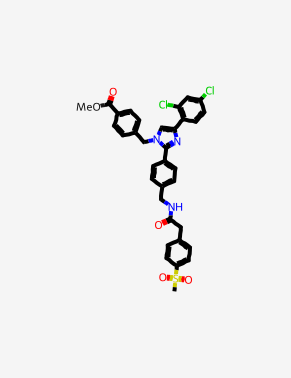 COC(=O)c1ccc(Cn2cc(-c3ccc(Cl)cc3Cl)nc2-c2ccc(CNC(=O)Cc3ccc(S(C)(=O)=O)cc3)cc2)cc1